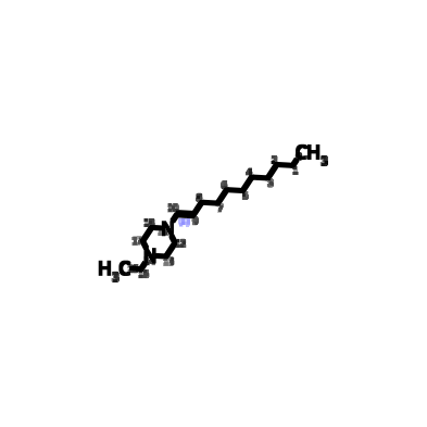 CCCCCCCCC/C=C/N1CCN(CC)CC1